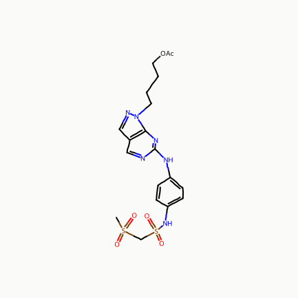 CC(=O)OCCCCn1ncc2cnc(Nc3ccc(NS(=O)(=O)CS(C)(=O)=O)cc3)nc21